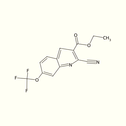 CCOC(=O)c1cc2ccc(OC(F)(F)F)cc2nc1C#N